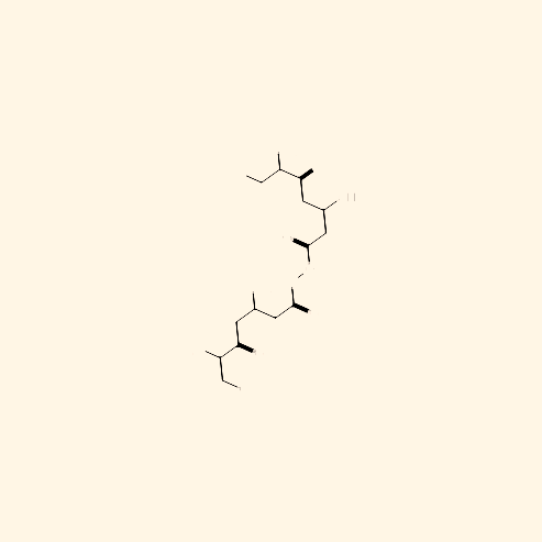 CCC(C)C(=O)CC(C)CC(=O)OOC(=O)CC(C)CC(=O)C(C)CC